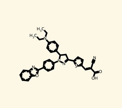 CCN(CC)c1ccc(C2CC(c3ccc(/C=C(\C#N)C(=O)O)s3)=NN2c2ccc(-c3nc4ccccc4o3)cc2)cc1